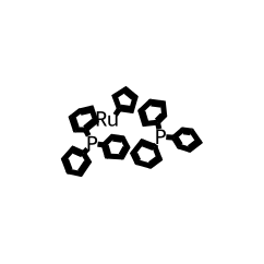 [Ru][C]1=CC=CC1.c1ccc(P(c2ccccc2)c2ccccc2)cc1.c1ccc(P(c2ccccc2)c2ccccc2)cc1